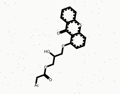 CC(=O)CC(=O)OCC(O)COc1cccc2sc3ccccc3c(=O)c12